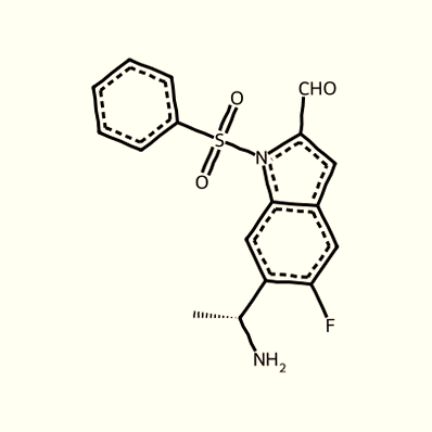 C[C@@H](N)c1cc2c(cc1F)cc(C=O)n2S(=O)(=O)c1ccccc1